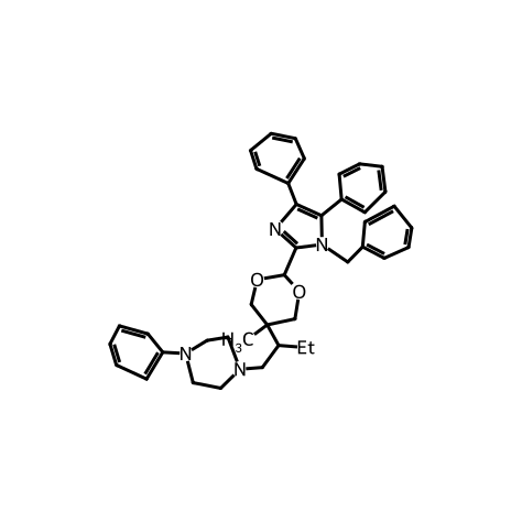 CCC(CN1CCN(c2ccccc2)CC1)C1(C)COC(c2nc(-c3ccccc3)c(-c3ccccc3)n2Cc2ccccc2)OC1